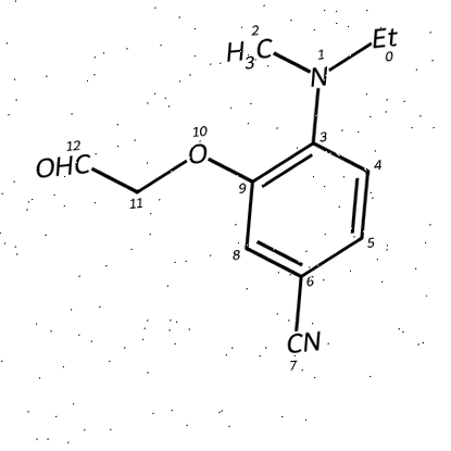 CCN(C)c1ccc(C#N)cc1OCC=O